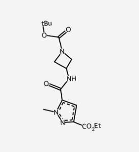 CCOC(=O)c1cc(C(=O)NC2CN(C(=O)OC(C)(C)C)C2)n(C)n1